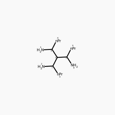 CCCC(N)[C](C(N)CCC)C(N)CCC